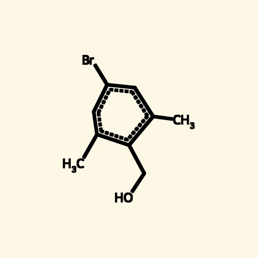 Cc1cc(Br)cc(C)c1CO